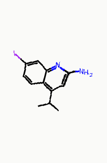 CC(C)c1cc(N)nc2cc(I)ccc12